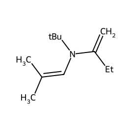 C=C(CC)N(C=C(C)C)C(C)(C)C